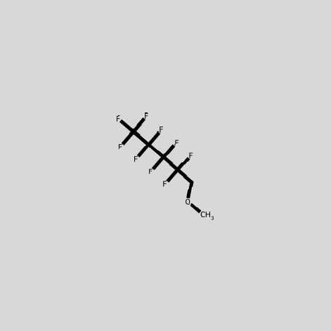 COCC(F)(F)C(F)(F)C(F)(F)C(F)(F)F